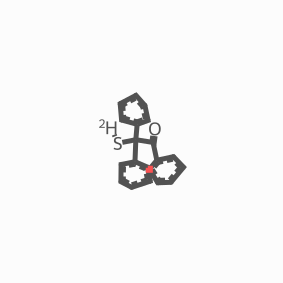 [2H]SC(C(=O)c1ccccc1)(c1ccccc1)c1ccccc1